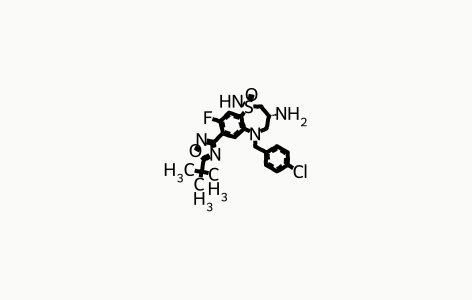 CC(C)(C)c1nc(-c2cc3c(cc2F)S(=N)(=O)C[C@H](N)CN3Cc2ccc(Cl)cc2)no1